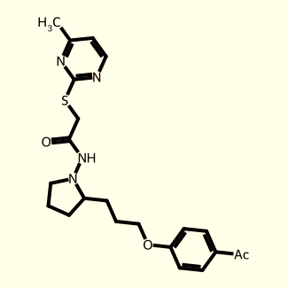 CC(=O)c1ccc(OCCCC2CCCN2NC(=O)CSc2nccc(C)n2)cc1